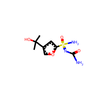 CC(C)(O)c1coc(S(N)(=O)=NC(N)=O)c1